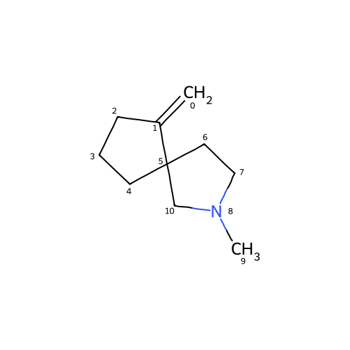 C=C1CCCC12CCN(C)C2